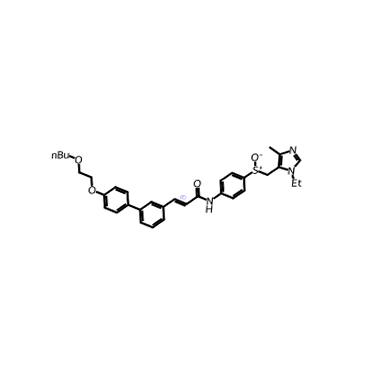 CCCCOCCOc1ccc(-c2cccc(/C=C/C(=O)Nc3ccc([S+]([O-])Cc4c(C)ncn4CC)cc3)c2)cc1